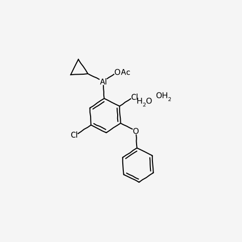 CC(=O)[O][Al]([c]1cc(Cl)cc(Oc2ccccc2)c1Cl)[CH]1CC1.O.O